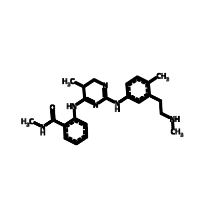 CNCCc1cc(NC2=NCC(C)C(Nc3ccccc3C(=O)NC)=N2)ccc1C